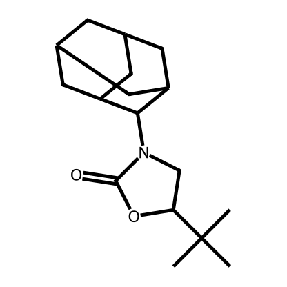 CC(C)(C)C1CN(C2C3CC4CC(C3)CC2C4)C(=O)O1